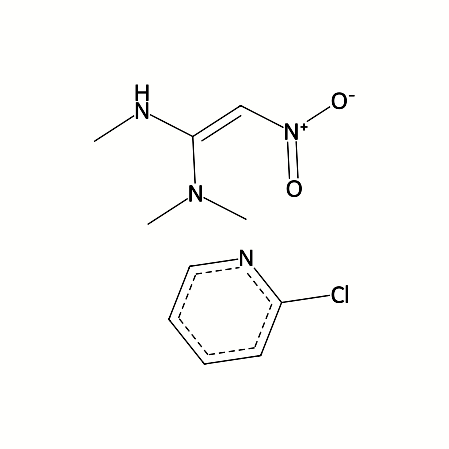 CNC(=C[N+](=O)[O-])N(C)C.Clc1ccccn1